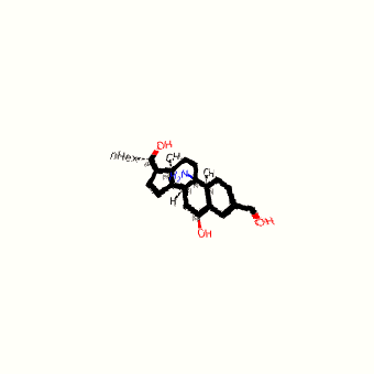 CCCCCC[C@H](O)C1CCC2[C@@H]3C[C@H](O)C4CC(CO)CC[C@]4(C)[C@@]3(N)CC[C@]12C